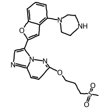 CS(=O)(=O)CCCOc1ccc2ncc(-c3cc4c(N5CCNCC5)cccc4o3)n2n1